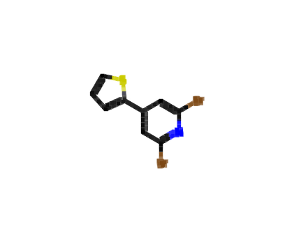 Brc1cc(-c2cccs2)cc(Br)n1